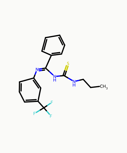 CCCNC(=S)NC(=Nc1cccc(C(F)(F)F)c1)c1ccccc1